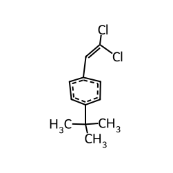 CC(C)(C)c1ccc(C=C(Cl)Cl)cc1